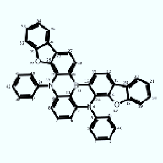 c1ccc(N2c3cccc4c3B(c3ccc5c(oc6ccccc65)c32)c2ccc3c(oc5ccccc53)c2N4c2ccccc2)cc1